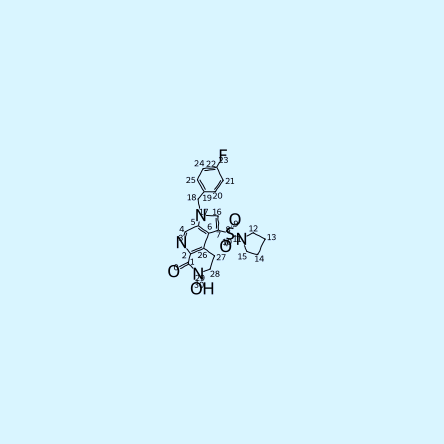 O=C1c2ncc3c(c(S(=O)(=O)N4CCCC4)cn3Cc3ccc(F)cc3)c2CCN1O